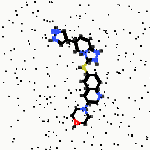 c1cc2ncc(N3CCOCC3)cc2cc1Sc1nnc2ccc(-c3cn[nH]c3)cn12